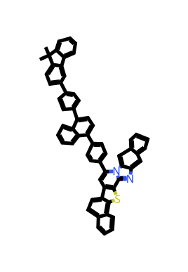 CC1(C)c2ccccc2-c2cc(-c3ccc(-c4ccc(-c5ccc(-c6cc7c8ccc9ccccc9c8sc7c7nc8cc9ccccc9cc8n67)cc5)c5ccccc45)cc3)ccc21